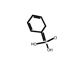 OP(O)(Cl)=C1C=CC=CC1